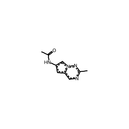 CC(=O)Nc1cc2cnc(C)nn2c1